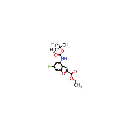 CCOC(=O)c1cc2c(NC(=O)OC(C)(C)C)cc(F)cc2o1